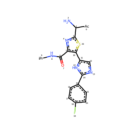 CC(=O)C(N)c1nc(C(=O)NC(C)C)c(-c2cnc(-c3ccc(F)cc3)[nH]2)s1